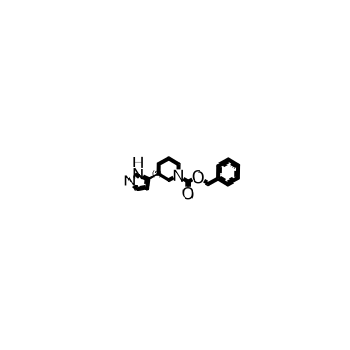 O=C(OCc1ccccc1)N1CCC[C@H](c2ccn[nH]2)C1